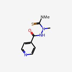 CNC(=S)N(C)NC(=O)c1ccncc1